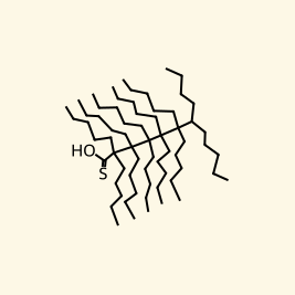 CCCCCC(CCCC)C(CCCCC)(CCCCC)C(CCCCC)(CCCCC)C(CCCCC)(CCCCC)C(CCCCC)(CCCCC)C(CCCCC)(CCCCC)C(O)=S